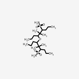 CCCC(OC(CCC)C(C)(C)C(CCC)S(N)(=O)=O)C(C)(C)C(CCC)S(N)(=O)=O